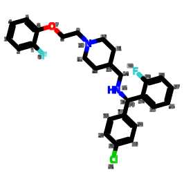 Fc1ccccc1OCCN1CCC(CN[C@H](c2ccc(Cl)cc2)c2ccccc2F)CC1